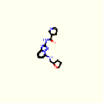 O=C(Nc1nc2cccc(NCC3CCCO3)n2n1)c1cccnc1